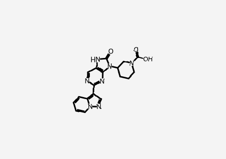 O=C(O)N1CCCC(n2c(=O)[nH]c3cnc(-c4cnn5ccccc45)nc32)C1